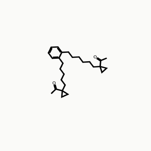 CC(=O)C1(CCCCCCc2ccccc2CCCCCC2(C(C)=O)CC2)CC1